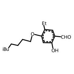 CCc1cc(C=O)c(O)cc1OCCCCC(C)CC